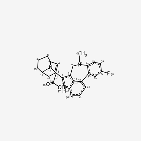 CN1Cc2c(C3=CC4CCCC(C3)N4CC(=O)O)[nH]c3nccc(c23)-c2cc(F)ccc21